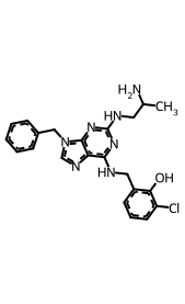 CC(N)CNc1nc(NCc2cccc(Cl)c2O)c2ncn(Cc3ccccc3)c2n1